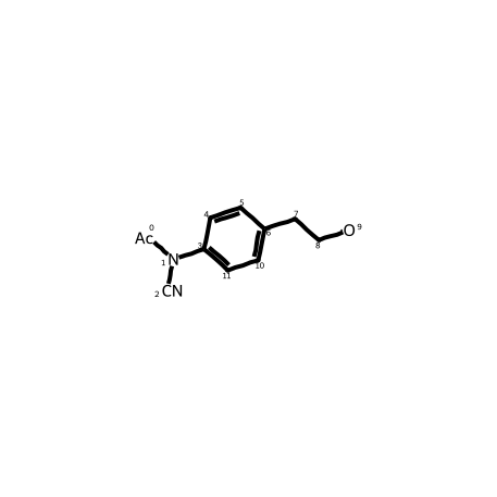 CC(=O)N(C#N)c1ccc(CC[O])cc1